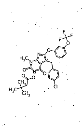 Cn1c(=O)n(OC(=O)CC(C)(C)C)c(=O)c2c1nc(Oc1cccc(OC(F)(F)F)c1)n2Cc1ccc(Cl)cc1